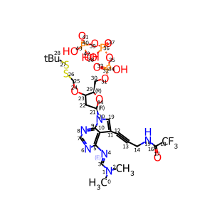 CN(C)/C=N/c1ncnc2c1c(C#CCNC(=O)C(F)(F)F)cn2[C@H]1CC(OCSSC(C)(C)C)[C@@H](COP(=O)(O)OP(=O)(O)OP(=O)(O)O)O1